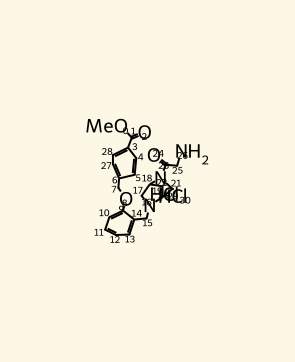 COC(=O)c1ccc(COc2ccccc2CN2CC3CC2CN3C(=O)CN)cc1.Cl.Cl